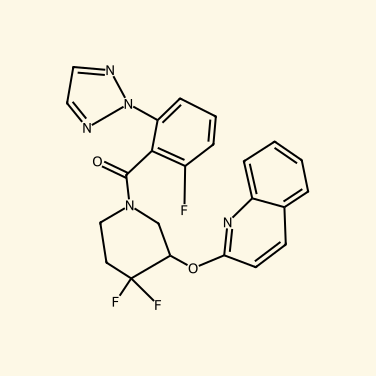 O=C(c1c(F)cccc1-n1nccn1)N1CCC(F)(F)C(Oc2ccc3ccccc3n2)C1